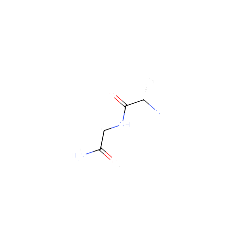 CC(C)[C@H](N)C(=O)NCC(N)=O